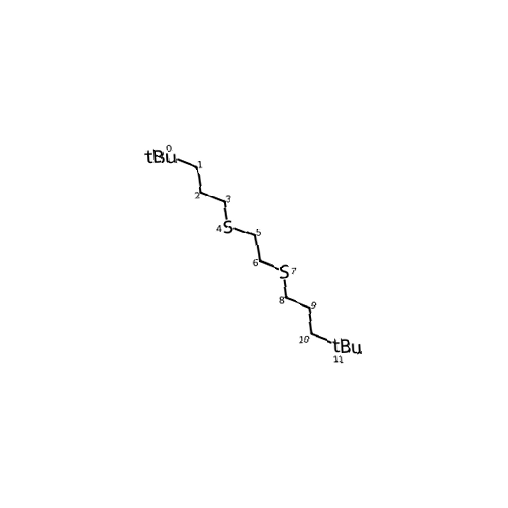 CC(C)(C)CCCSCCSCCCC(C)(C)C